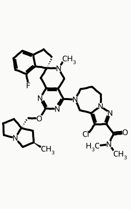 C[C@H]1CN2CCC[C@@]2(COc2nc3c(c(N4CCCn5nc(C(=O)N(C)C)c(Cl)c5C4)n2)CN(C)[C@@]2(CCc4cccc(F)c42)C3)C1